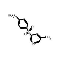 Cc1cncc(S(=O)(=O)c2ccc(C(=O)O)cc2)c1